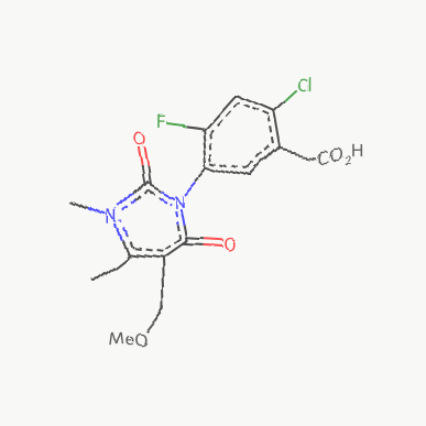 COCc1c(C)n(C)c(=O)n(-c2cc(C(=O)O)c(Cl)cc2F)c1=O